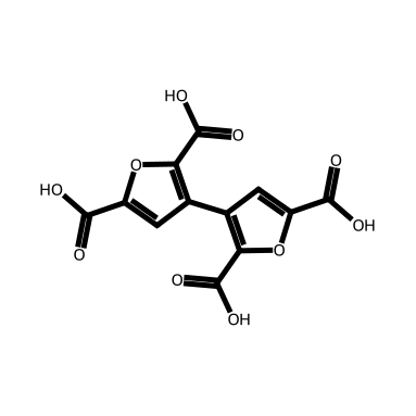 O=C(O)c1cc(-c2cc(C(=O)O)oc2C(=O)O)c(C(=O)O)o1